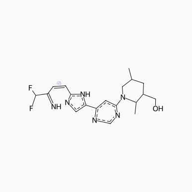 CC1CC(CO)C(C)N(c2cc(-c3cnc(/C=C\C(=N)C(F)F)[nH]3)ncn2)C1